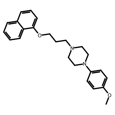 COc1ccc(N2CCN(CCCOc3cccc4ccccc34)CC2)cc1